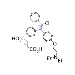 CCN(CC)CCOc1ccc(/C(=C(\Cl)c2ccccc2)c2ccccc2)cc1.O=C(O)/C=C/C(=O)O